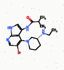 CCN[C@@H]1CCCN(c2c(Br)cnc3[nH]cc(NC(=O)C(C)C)c23)C1